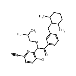 CC(C)CNN(C(=O)c1cccc(CN2C(C)CCCC2C)c1)c1nc(C#N)ncc1Cl